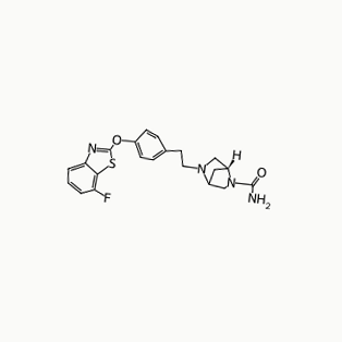 NC(=O)N1CC2C[C@@H]1CN2CCc1ccc(Oc2nc3cccc(F)c3s2)cc1